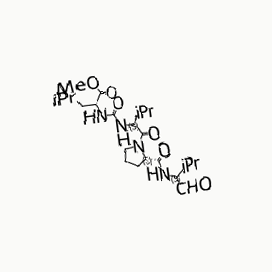 COC(=O)C(CC(C)C)NC(=O)N[C@H](C(=O)N1CCC[C@H]1C(=O)N[C@H](C=O)C(C)C)C(C)C